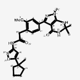 COc1cc(-c2nn(C(C)C)c3c2C(=O)NC(C)(C)N3)ccc1CC(=O)Nc1cc(C2(C)CCCC2)on1